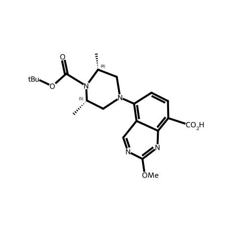 COc1ncc2c(N3C[C@@H](C)N(C(=O)OC(C)(C)C)[C@@H](C)C3)ccc(C(=O)O)c2n1